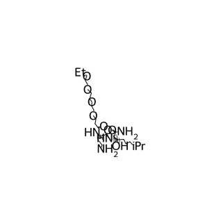 CCOCCOCCOCCOCCC(=O)N[C@@H](CCN)C(=O)N[C@H](C(N)=O)[C@H](O)CCCC(C)C